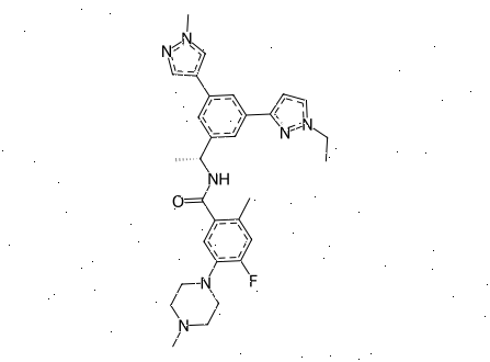 CCn1ccc(-c2cc(-c3cnn(C)c3)cc([C@@H](C)NC(=O)c3cc(N4CCN(C)CC4)c(F)cc3C)c2)n1